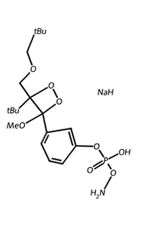 COC1(c2cccc(OP(=O)(O)ON)c2)OOC1(COCC(C)(C)C)C(C)(C)C.[NaH]